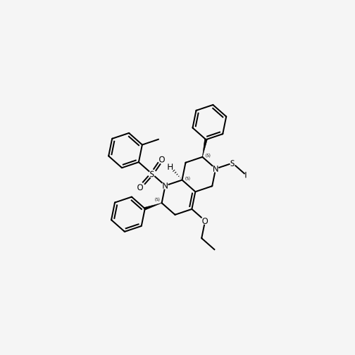 CCOC1=C2CN(SI)[C@H](c3ccccc3)C[C@@H]2N(S(=O)(=O)c2ccccc2C)[C@H](c2ccccc2)C1